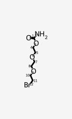 NC(=O)OCCOCCOCCBr